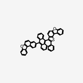 c1ccc(-c2sc3c(ccc4oc5ccccc5c43)c2-c2c3ccccc3c(-c3ccc4c(ccc5oc6ccccc6c54)c3)c3ccccc23)cc1